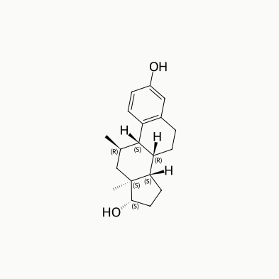 C[C@@H]1C[C@]2(C)[C@@H](O)CC[C@H]2[C@H]2CCc3cc(O)ccc3[C@H]21